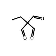 CCC(C=O)(C=O)C=O